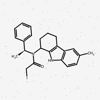 Cc1ccc2[nH]c3c(c2c1)CCCC3N(C(=O)CI)[C@@H](C)c1ccccc1